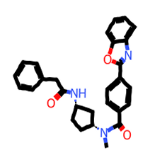 CN(C(=O)c1ccc(-c2nc3ccccc3o2)cc1)[C@@H]1CC[C@H](NC(=O)Cc2ccccc2)C1